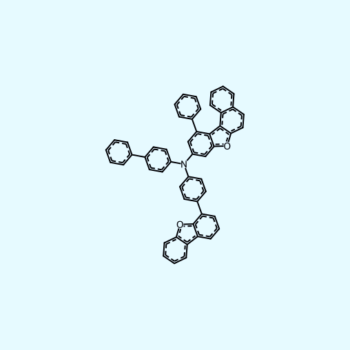 c1ccc(-c2ccc(N(c3ccc(-c4cccc5c4oc4ccccc45)cc3)c3cc(-c4ccccc4)c4c(c3)oc3ccc5ccccc5c34)cc2)cc1